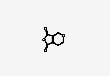 O=C1OC(=O)C2=C1CCOC2